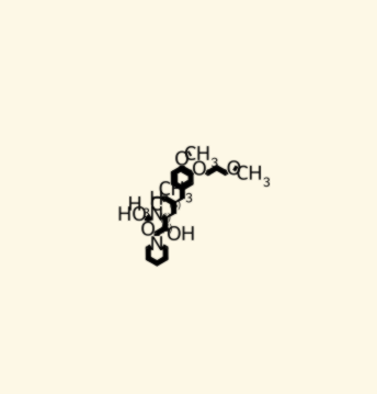 COCCCOc1cc(C[C@@H](C[C@H](NC(=O)O)[C@@H](O)CN2CCCCC2)C(C)C)ccc1OC